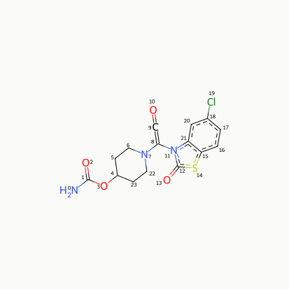 NC(=O)OC1CCN(C(=C=O)n2c(=O)sc3ccc(Cl)cc32)CC1